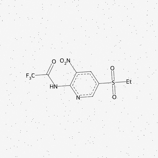 CCS(=O)(=O)c1cnc(NC(=O)C(F)(F)F)c([N+](=O)[O-])c1